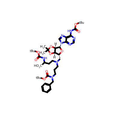 CC(C)(C)OC(=O)Nc1ncnc2c1ncn2[C@@H]1O[C@H](CN(CCCN(Cc2ccccc2)C(=O)OC(C)(C)C)CCC(NC(=O)OC(C)(C)C)C(=O)O)[C@H]2OC(C)(C)O[C@H]21